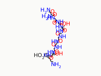 NCCCC[C@H](NC(=O)[C@H](CO)NC(=O)CNC(=O)CNC(=O)CNC(=O)CNC(=O)[C@H](CO)NC(=O)CNC(=O)CNC(=O)C(N)C(=O)CN)C(=O)O